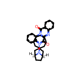 O=c1c2nc3ccccc3c(=O)n2c2ccccc2n1[C@H]1C[C@H]2CC[C@@H](C1)N2C1CCCCCCC1